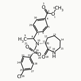 COC(=O)c1ccc(C(C)N([C@@H]2CCCCNC2=O)S(=O)(=O)c2ccc(Cl)cc2)cc1